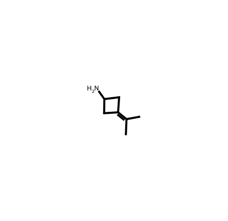 CC(C)=C1CC(N)C1